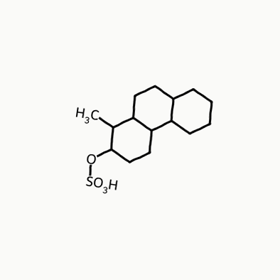 CC1C(OS(=O)(=O)O)CCC2C3CCCCC3CCC12